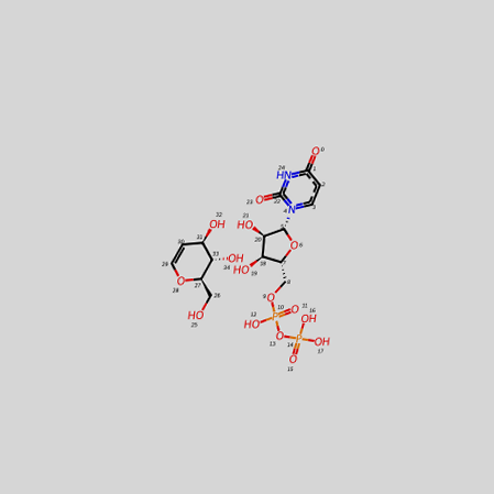 O=c1ccn([C@@H]2O[C@H](COP(=O)(O)OP(=O)(O)O)[C@@H](O)[C@H]2O)c(=O)[nH]1.OC[C@H]1OC=C[C@@H](O)[C@@H]1O